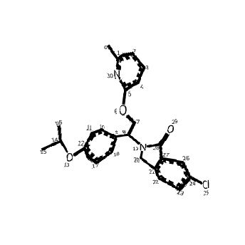 Cc1cccc(OCC(c2ccc(OC(C)C)cc2)N2Cc3ccc(Cl)cc3C2=O)n1